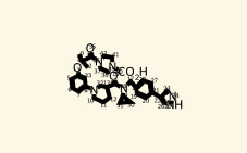 CC(C)(Oc1cccc(N2CCCC(C(=O)N(Cc3ccc(-c4cn[nH]c4)cc3)C3CC3)C2)c1)C(=O)N1CCN(C(=O)O)CC1